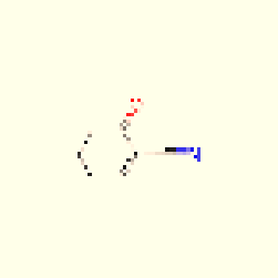 N#CC1=CCCCC1=O